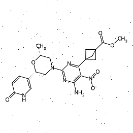 COC(=O)C12CC(c3nc(N4C[C@@H](C)O[C@@H](c5ccc(=O)[nH]c5)C4)nc(N)c3[N+](=O)[O-])(C1)C2